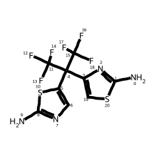 Nc1nc(C(c2cnc(N)s2)(C(F)(F)F)C(F)(F)F)cs1